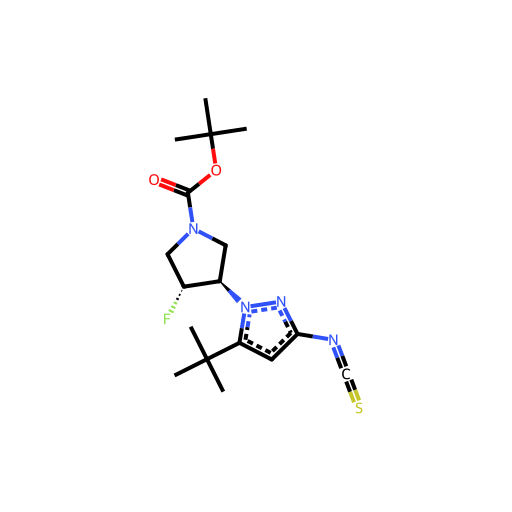 CC(C)(C)OC(=O)N1C[C@@H](F)[C@H](n2nc(N=C=S)cc2C(C)(C)C)C1